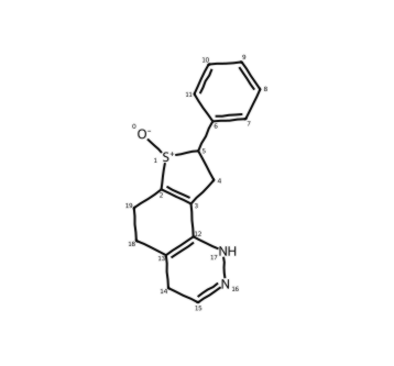 [O-][S+]1C2=C(CC1c1ccccc1)C1=C(CC=NN1)CC2